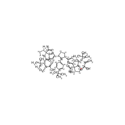 CN(C(=O)O)[C@H](C(=O)N1CCC[C@]1(C(N)=O)c1nc([C@@H]2CC[C@@H](c3csc([C@@]4(C(N)=O)CCCN4C(=O)[C@@H](N(C)C(=O)O)C(C)(C)C)n3)N2c2ccc(C(C)(C)C)cc2)cs1)C(C)(C)C